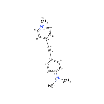 CN(C)c1ccc(C#Cc2cc[n+](C)cc2)cc1